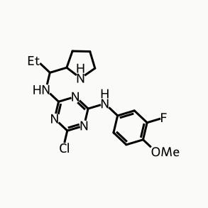 CCC(Nc1nc(Cl)nc(Nc2ccc(OC)c(F)c2)n1)C1CCCN1